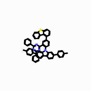 Cc1ccc(-c2ccc3c4ccc(-c5ccc(C)cc5)cc4n(-c4ccc(-c5cccc6sc7ccccc7c56)cc4-c4nc(-c5ccccc5)nc(-c5ccccc5)n4)c3c2)cc1